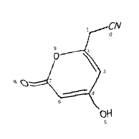 N#CCc1cc(O)cc(=O)o1